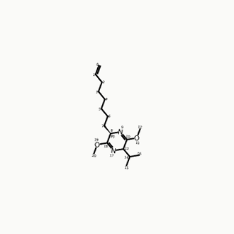 C=CCCCCCC[C@H]1N=C(OC)C(C(C)C)N=C1OC